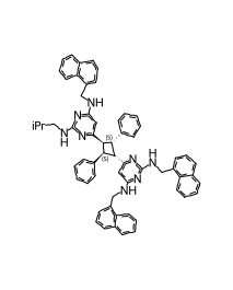 CC(C)CNc1nc(NCc2cccc3ccccc23)cc([C@H]2[C@H](c3ccccc3)[C@H](c3cc(NCc4cccc5ccccc45)nc(NCc4cccc5ccccc45)n3)[C@H]2c2ccccc2)n1